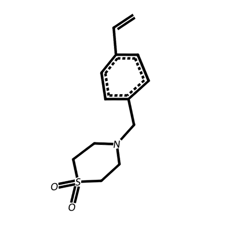 C=Cc1ccc(CN2CCS(=O)(=O)CC2)cc1